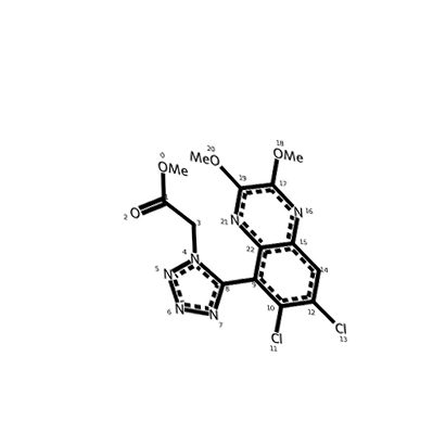 COC(=O)Cn1nnnc1-c1c(Cl)c(Cl)cc2nc(OC)c(OC)nc12